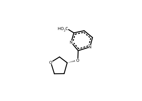 O=C(O)c1ccnc(O[C@@H]2CCOC2)n1